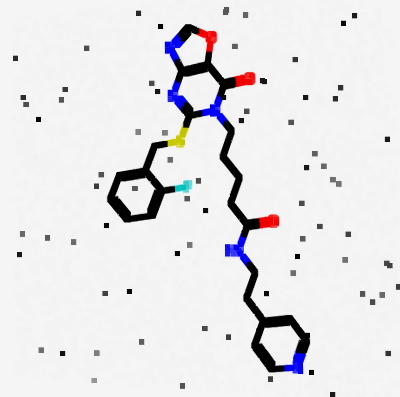 O=C(CCCCn1c(SCc2ccccc2F)nc2ncoc2c1=O)NCCc1ccncc1